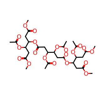 COC(=O)CC(OC(C)=O)C(CC(=O)OC)OC(=O)CC(OC(C)=O)C(CC(=O)OC(CC(=O)OC)C(CC(=O)OC)OC(C)=O)OC(C)=O